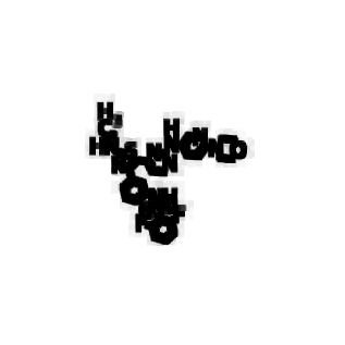 CCNc1nc(-c2cccc(NS(=O)(=O)c3c(F)cccc3F)c2)c(-c2ccnc(Nc3ccc(N4CCOCC4)nc3)n2)s1